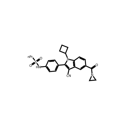 CCCS(=O)(=O)Nc1ccc(-c2c(C#N)c3cc(C(=O)N4CC4)ccc3n2C2CCC2)cc1